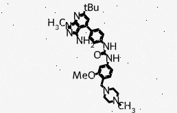 COc1cc(NC(=O)Nc2ccc(-c3cc(C(C)(C)C)nc4c3c(N)nn4C)cc2)ccc1CN1CCN(C)CC1